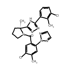 Cc1cc(-n2nccn2)c(C(=O)N2CCC[C@@]2(C)c2nnc(-c3cccc(Cl)c3C)[nH]2)cc1Cl